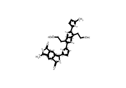 CCCCCCCCCCCCc1c(-c2ccc(C)s2)sc2c(CCCCCCCCCCCC)c(-c3ccc(C4=c5cc6c(cc5C(=O)O4)=C(C)OC6=O)s3)sc12